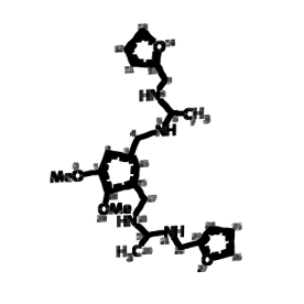 COc1cc(CNC(C)NCc2ccco2)cc(CNC(C)NCc2ccco2)c1OC